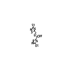 CCc1nsc(COC(O)c2nc(CC)ns2)n1